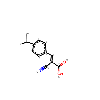 CC(C)c1ccc(/C=C(\C#N)C(=O)O)cc1